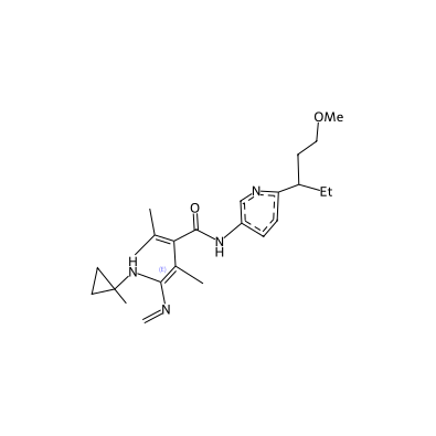 C=N/C(NC1(C)CC1)=C(\C)C(C(=O)Nc1ccc(C(CC)CCOC)nc1)=C(C)C